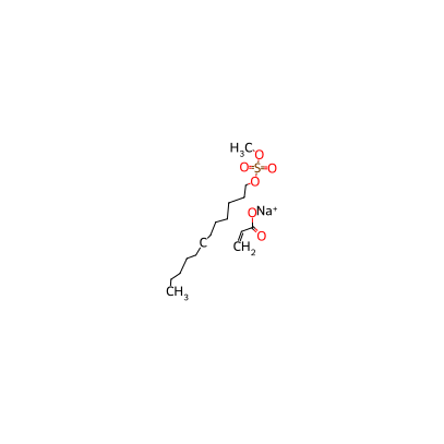 C=CC(=O)[O-].CCCCCCCCCCCCOS(=O)(=O)OC.[Na+]